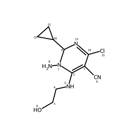 N#CC1=C(NCCO)N(N)C(C2CC2)N=C1Cl